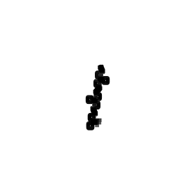 CCOC(=O)OCCOC(=O)OCCOC(=O)F